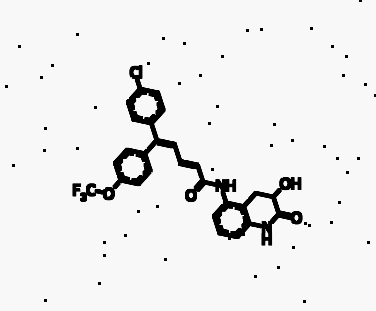 O=C(C=CC=C(c1ccc(Cl)cc1)c1ccc(OC(F)(F)F)cc1)Nc1cccc2c1CC(O)C(=O)N2